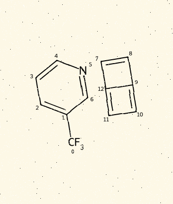 FC(F)(F)c1cccnc1.c1cc2ccc1-2